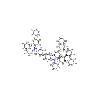 c1ccc(-c2ccc(N(c3ccc(-c4ccc5c(c4)c4cc(-c6ccc7ccccc7c6)ccc4n5-c4ccccc4-c4ccc5c6ccccc6c6ccccc6c5c4)cc3)c3cccc4ccccc34)cc2)cc1